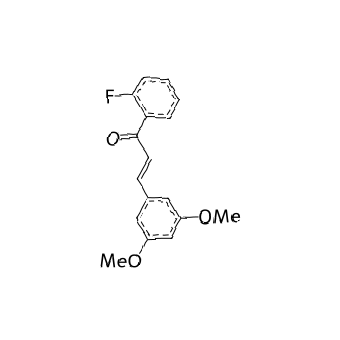 COc1cc(C=CC(=O)c2ccccc2F)cc(OC)c1